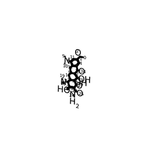 CC(=O)c1cc2c(c(N(C)C)c1)CC1CC3C(N(C)C)C(O)=C(C(N)=O)C(=O)[C@@]3(O)C(O)=C1C2=O